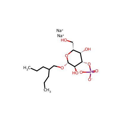 CCCC(CCC)CO[C@@H]1O[C@H](CO)[C@H](O)[C@H](OP(=O)([O-])[O-])[C@H]1O.[Na+].[Na+]